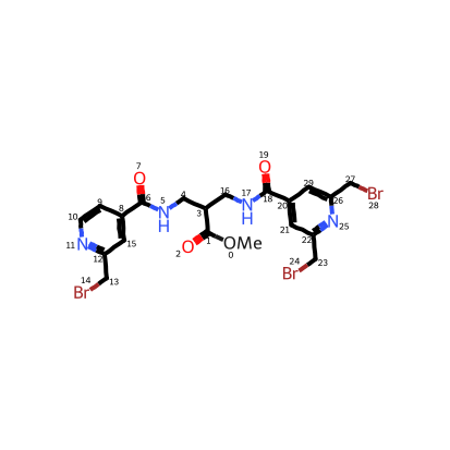 COC(=O)C(CNC(=O)c1ccnc(CBr)c1)CNC(=O)c1cc(CBr)nc(CBr)c1